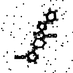 COc1cc(N2CCN(C(C=O)C3(Br)N=NC(c4ccccc4)=N3)CC2)ncn1